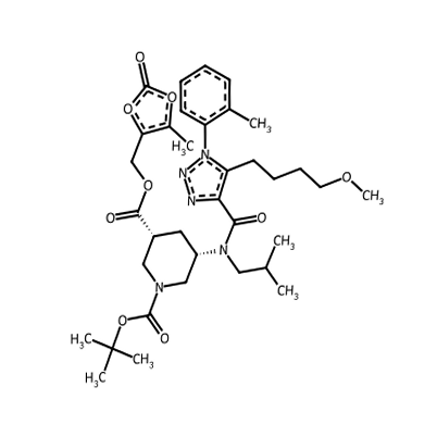 COCCCCc1c(C(=O)N(CC(C)C)[C@H]2C[C@@H](C(=O)OCc3oc(=O)oc3C)CN(C(=O)OC(C)(C)C)C2)nnn1-c1ccccc1C